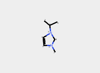 CC(C)N1C=CN(C)C1